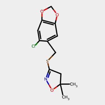 CC1(C)CC(SCc2cc3c(cc2Cl)OCO3)=NO1